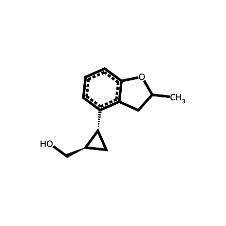 CC1Cc2c(cccc2[C@@H]2C[C@H]2CO)O1